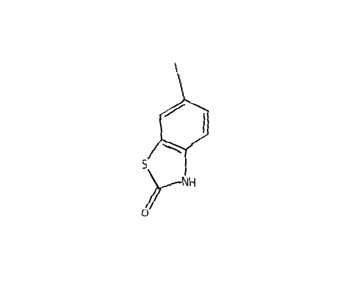 O=c1[nH]c2ccc(I)cc2s1